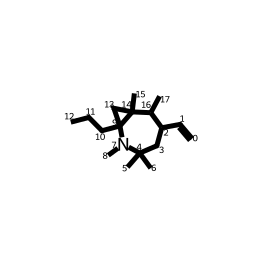 C=CC1CC(C)(C)N(C)C2(CCC)CC2(C)C1C